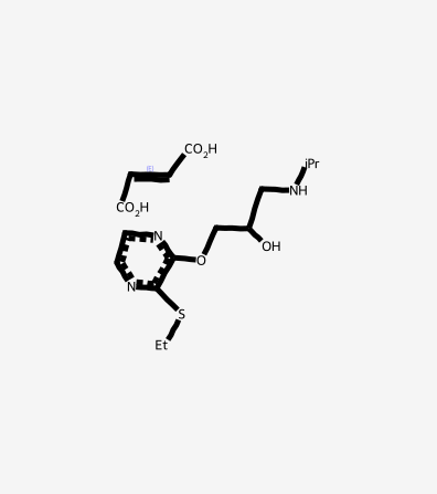 CCSc1nccnc1OCC(O)CNC(C)C.O=C(O)/C=C/C(=O)O